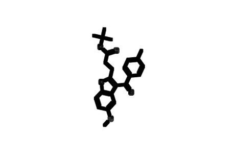 COc1ccc2oc(CCC(=O)OC(C)(C)C)c(C(=O)c3ccc(C)cc3)c2c1